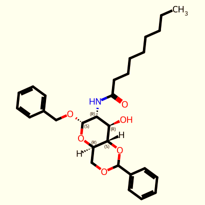 CCCCCCCCC(=O)N[C@H]1[C@@H](OCc2ccccc2)O[C@@H]2COC(c3ccccc3)O[C@H]2[C@@H]1O